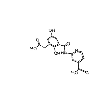 O=C(O)Cc1cc(O)cc(C(=O)Nc2cc(C(=O)O)ccn2)c1O